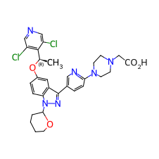 C[C@@H](Oc1ccc2c(c1)c(-c1ccc(N3CCN(CC(=O)O)CC3)nc1)nn2C1CCCCO1)c1c(Cl)cncc1Cl